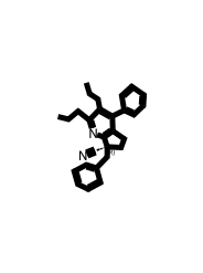 CCCc1nc2c(c(-c3ccccc3)c1CCC)CC[C@@]2(C#N)Cc1ccccc1